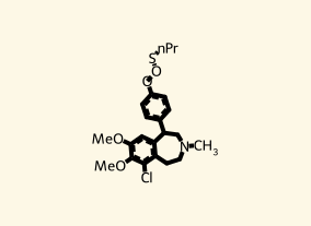 CCCSOOc1ccc(C2CN(C)CCc3c2cc(OC)c(OC)c3Cl)cc1